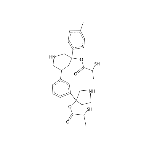 Cc1ccc(C2(OC(=O)C(C)S)CNCC(c3cccc(C4(OC(=O)C(C)S)CCNC4)c3)C2)cc1